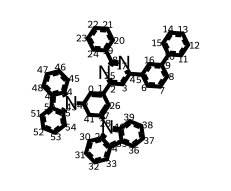 C1=C(c2cc(-c3cccc(-c4ccccc4)c3)nc(-c3ccccc3)n2)C=C(n2c3ccccc3c3ccccc32)CC1n1c2ccccc2c2ccccc21